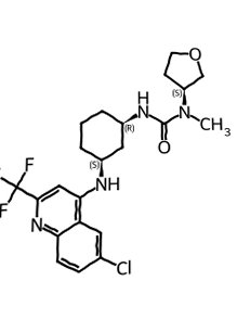 CN(C(=O)N[C@@H]1CCC[C@H](Nc2cc(C(F)(F)F)nc3ccc(Cl)cc23)C1)[C@H]1CCOC1